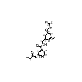 CCC(=O)Nc1cc(C(=O)NCc2cc(C)cc(OCC(F)F)c2)ccn1